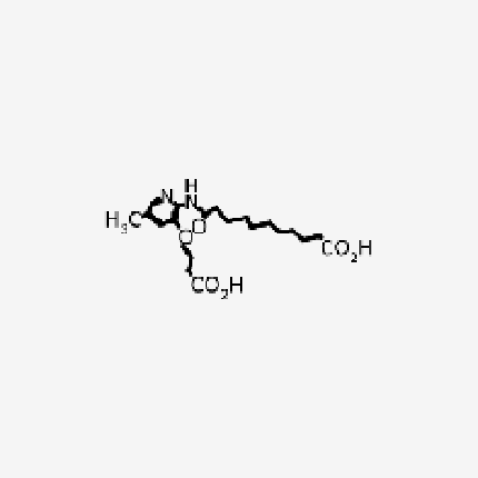 Cc1cnc(NC(=O)CCCCCCCCCC(=O)O)c(OCCCC(=O)O)c1